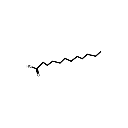 CC[CH]CCCCCCCCC(=O)O